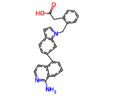 Nc1nccc2c(-c3ccc4ccn(Cc5ccccc5CC(=O)O)c4c3)cccc12